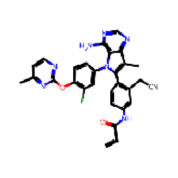 C=CC(=O)Nc1ccc(-c2c(C)c3ncnc(N)c3n2-c2ccc(Oc3nccc(C)n3)c(F)c2)c(CC#N)c1